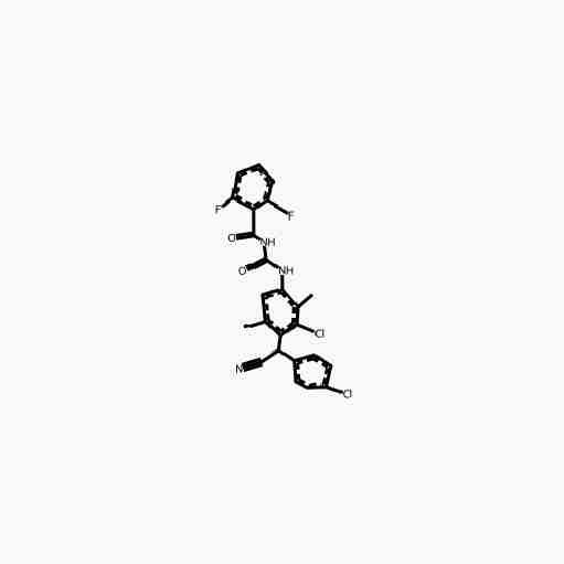 Cc1cc(NC(=O)NC(=O)c2c(F)cccc2F)c(C)c(Cl)c1C(C#N)c1ccc(Cl)cc1